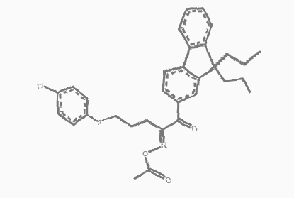 CCCC1(CCC)c2ccccc2-c2ccc(C(=O)/C(CCCSc3ccc(Cl)cc3)=N/OC(C)=O)cc21